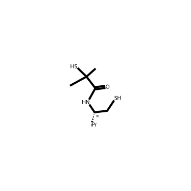 CC(C)[C@@H](CS)NC(=O)C(C)(C)S